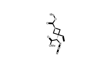 C=CC1([C@H](N=[N+]=[N-])C(=O)OC)CN(C(=O)OC(C)(C)C)C1